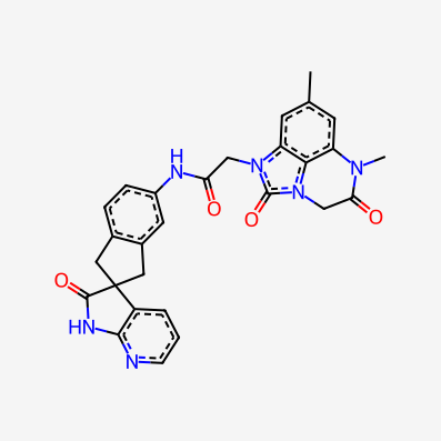 Cc1cc2c3c(c1)n(CC(=O)Nc1ccc4c(c1)CC1(C4)C(=O)Nc4ncccc41)c(=O)n3CC(=O)N2C